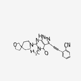 Cn1c(N2CCC3(CCOC3)CC2)nc2[nH]nc(C#Cc3ccccc3C#N)c2c1=O